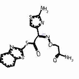 NC(=O)CO/N=C(\C(=O)Sc1nc2ccccc2s1)c1csc(N)n1